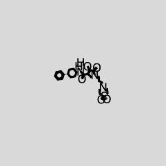 O=C(N[C@H]1CC[C@@H](c2ccccc2)CC1)C1=C(O)C(=O)N(CCCN2CCS(=O)(=O)CC2)C1